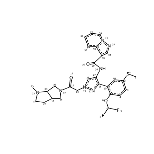 CSc1ccc(OC(F)F)c(-c2nn(CC(=O)N3CC4CCN(C)C4C3)cc2NC(=O)c2cnn3cccnc23)c1